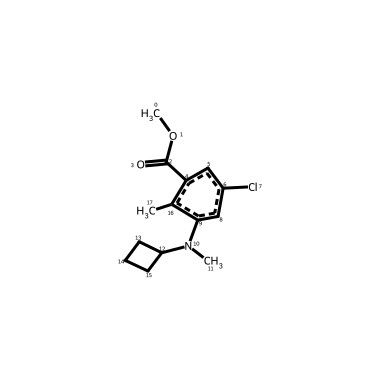 COC(=O)c1cc(Cl)cc(N(C)C2CCC2)c1C